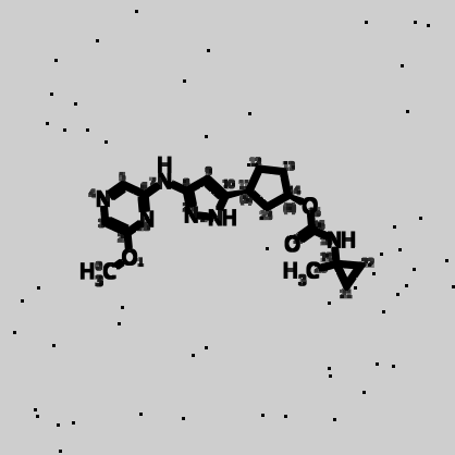 COc1cncc(Nc2cc([C@H]3CC[C@@H](OC(=O)NC4(C)CC4)C3)[nH]n2)n1